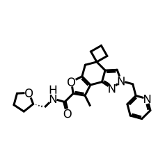 Cc1c(C(=O)NC[C@@H]2CCCO2)oc2c1-c1nn(Cc3ccccn3)cc1C1(CCC1)C2